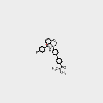 CN(C)C(=O)c1ccc(-c2ccc([C@@]3(NC(=O)c4ccc(F)cc4)CCOc4cccnc43)cc2)cc1